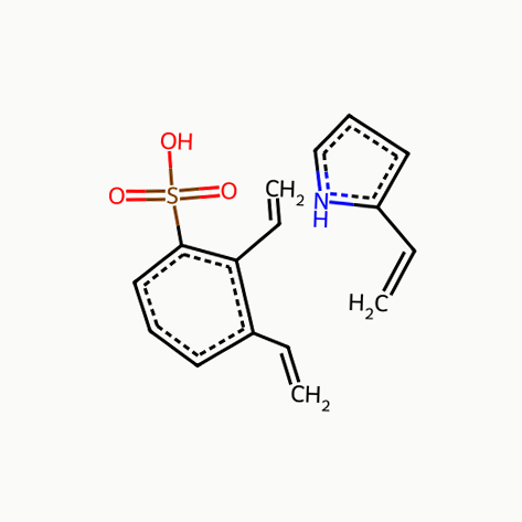 C=Cc1ccc[nH]1.C=Cc1cccc(S(=O)(=O)O)c1C=C